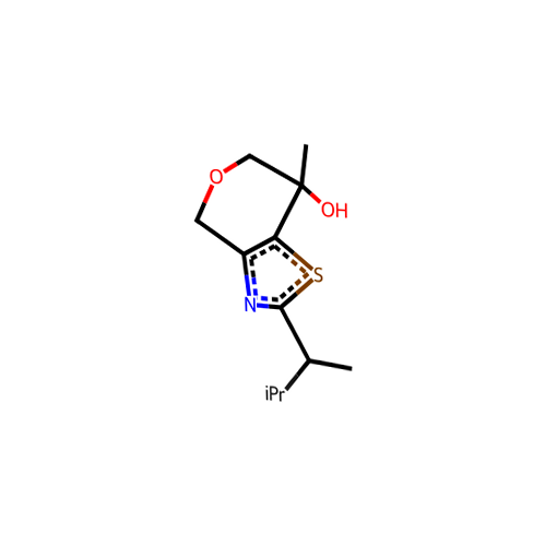 CC(C)C(C)c1nc2c(s1)C(C)(O)COC2